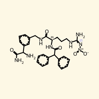 NC(=O)C(N)c1cccc(CNC(=O)[C@@H](CCCN/C(N)=N\[N+](=O)[O-])NC(=O)C(c2ccccc2)c2ccccc2)c1